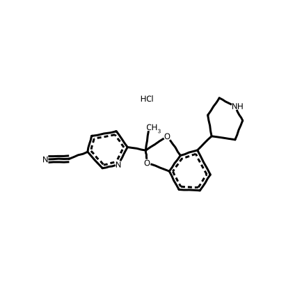 CC1(c2ccc(C#N)cn2)Oc2cccc(C3CCNCC3)c2O1.Cl